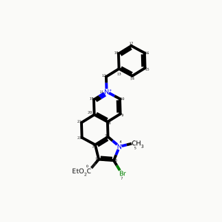 CCOC(=O)c1c2c(n(C)c1Br)-c1cc[n+](Cc3ccccc3)cc1CC2